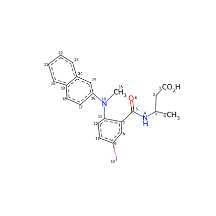 CC(CC(=O)O)NC(=O)c1cc(I)ccc1N(C)c1ccc2ccccc2c1